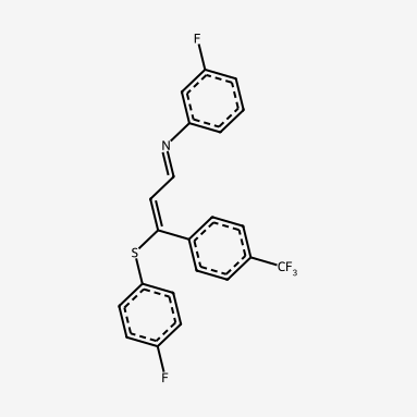 Fc1ccc(SC(=CC=Nc2cccc(F)c2)c2ccc(C(F)(F)F)cc2)cc1